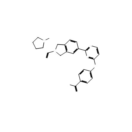 C=C(C)c1ccc(Nc2ccnc(-c3ccc4c(c3)CN(C(=O)[C@@H]3CCCN3C)C4)n2)cc1